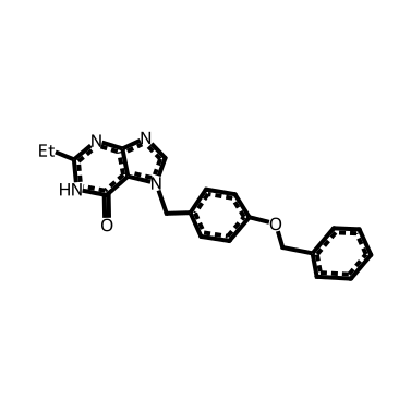 CCc1nc2ncn(Cc3ccc(OCc4ccccc4)cc3)c2c(=O)[nH]1